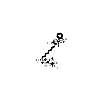 CN(CCCCCCCC[C@H](NS(=O)(=O)c1ccccc1[N+](=O)[O-])C(=O)O)S(=O)(=O)NC(=O)OC(C)(C)C